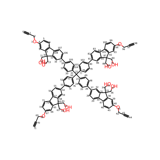 C#CCOc1ccc2c(c1)C(CO)(CO)c1cc(-c3ccc(C(c4ccc(-c5ccc6c(c5)C(CO)(CO)c5cc(OCC#C)ccc5-6)cc4)(c4ccc(-c5ccc6c(c5)C(CO)(CO)c5cc(OCC#C)ccc5-6)cc4)c4ccc(-c5ccc6c(c5)C(CO)(CO)c5cc(OCC#C)ccc5-6)cc4)cc3)ccc1-2